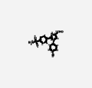 NS(=O)(=O)c1ccc(-c2nc(C=O)cn2-c2ccc(Cl)cc2)cc1